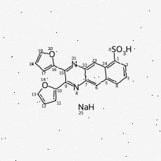 O=S(=O)(O)c1cccc2cc3nc(-c4ccco4)c(-c4ccco4)nc3cc12.[NaH]